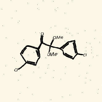 COC(OC)(C(=O)c1ccc(Cl)cc1)c1ccc(Cl)cc1